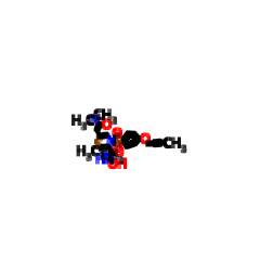 CC#CCOc1ccc(S(=O)(=O)N2C[C@H](CC(=O)N(C)C)SC(C)(C)[C@@H]2C(=O)NO)cc1